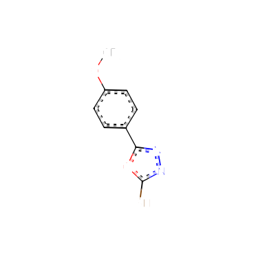 FC(F)(F)Oc1ccc(-c2nnc(S)o2)cc1